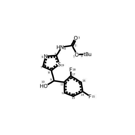 CC(C)(C)OC(=O)Nc1ncc(C(O)c2ccc(F)cc2F)s1